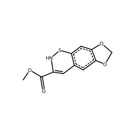 COC(=O)C1=Cc2cc3c(cc2SN1)OCO3